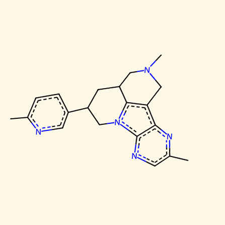 Cc1ccc(C2CC3CN(C)Cc4c3n(c3ncc(C)nc43)C2)cn1